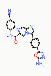 CN(C(=O)c1cn2c(-c3ccc(-c4nnc(N)o4)cc3)cnc2cn1)c1ccc(C#N)cc1